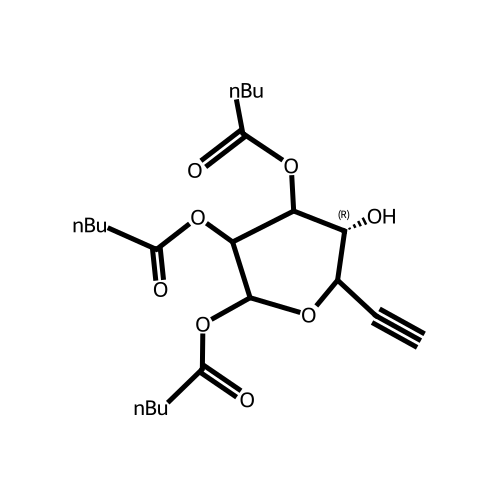 C#CC1OC(OC(=O)CCCC)C(OC(=O)CCCC)C(OC(=O)CCCC)[C@@H]1O